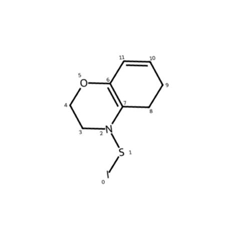 ISN1CCOC2=C1CCC=C2